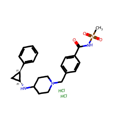 CS(=O)(=O)NC(=O)c1ccc(CN2CCC(N[C@@H]3C[C@H]3c3ccccc3)CC2)cc1.Cl.Cl